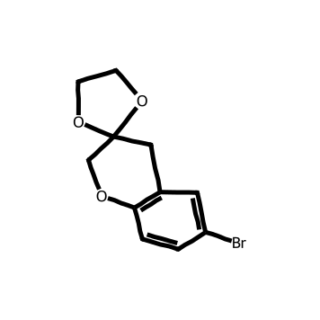 Brc1ccc2c(c1)CC1(CO2)OCCO1